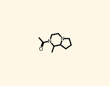 CC(=O)N1CCN2CCCC2C1C